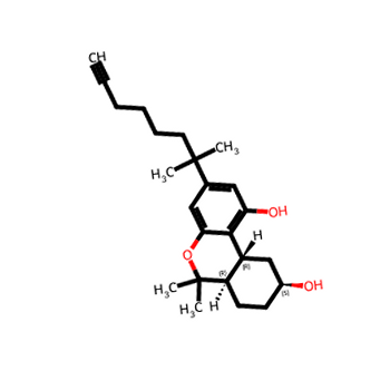 C#CCCCCC(C)(C)c1cc(O)c2c(c1)OC(C)(C)[C@@H]1CC[C@H](O)C[C@@H]21